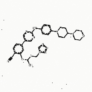 CC(Oc1cc(-c2cnc(Nc3ccc(N4CCC(N5CCOCC5)CC4)cc3)nc2)ccc1C#N)SCn1cnnn1